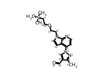 Cc1nn(-c2ccnc3c2ccn3CCOCC[Si](C)(C)C)cc1C=O